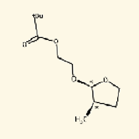 C[C@@H]1CCO[C@@H]1OCCOC(=O)C(C)(C)C